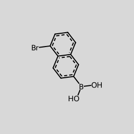 OB(O)c1ccc2c(Br)cccc2c1